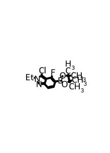 CCn1nc2ccc(B3OC(C)(C)C(C)(C)O3)c(F)c2c1Cl